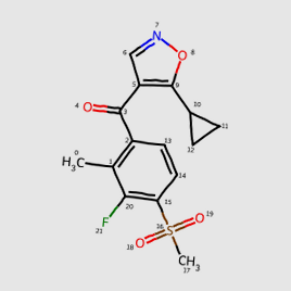 Cc1c(C(=O)c2cnoc2C2CC2)ccc(S(C)(=O)=O)c1F